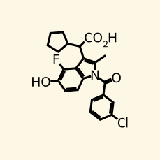 Cc1c(C(C(=O)O)C2CCCC2)c2c(F)c(O)ccc2n1C(=O)c1cccc(Cl)c1